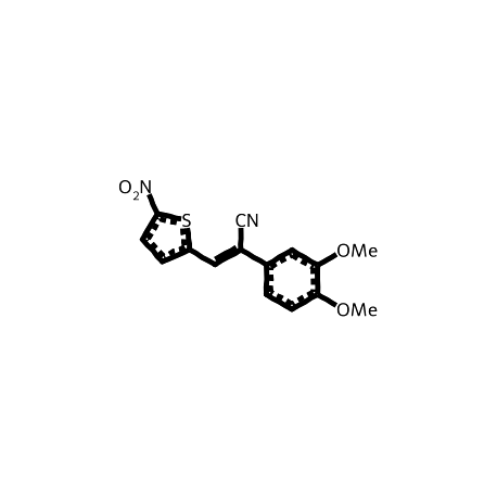 COc1ccc(C(C#N)=Cc2ccc([N+](=O)[O-])s2)cc1OC